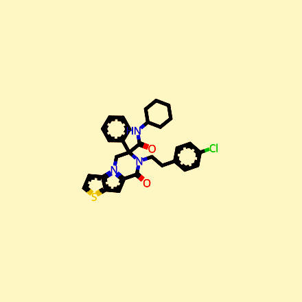 O=C1c2cc3sccc3n2CC(C(=O)NC2CCCCC2)(c2ccccc2)N1CCc1ccc(Cl)cc1